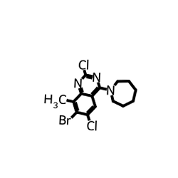 Cc1c(Br)c(Cl)cc2c(N3CCCCCC3)nc(Cl)nc12